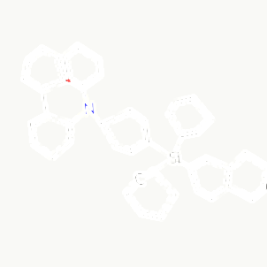 c1ccc(-c2ccccc2N(c2ccccc2)c2ccc([Si](c3ccccc3)(c3ccccc3)c3ccc4ccccc4c3)cc2)cc1